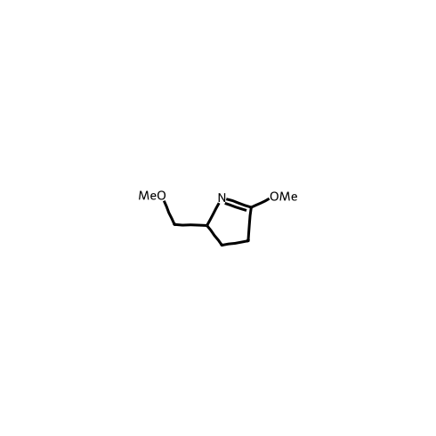 COCC1CCC(OC)=N1